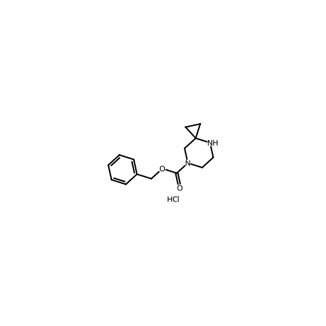 Cl.O=C(OCc1ccccc1)N1CCNC2(CC2)C1